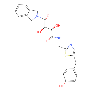 O=C(NCc1ncc(Cc2ccc(O)cc2)s1)[C@H](O)[C@@H](O)C(=O)N1Cc2ccccc2C1